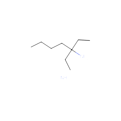 CCCCC(N)(CC)CC.N